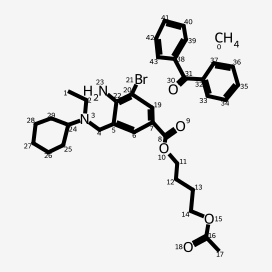 C.CCN(Cc1cc(C(=O)OCCCCOC(C)=O)cc(Br)c1N)C1CCCCC1.O=C(c1ccccc1)c1ccccc1